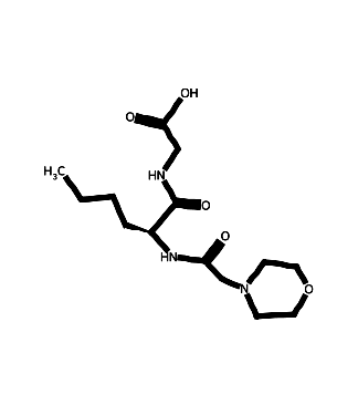 CCCC[C@H](NC(=O)CN1CCOCC1)C(=O)NCC(=O)O